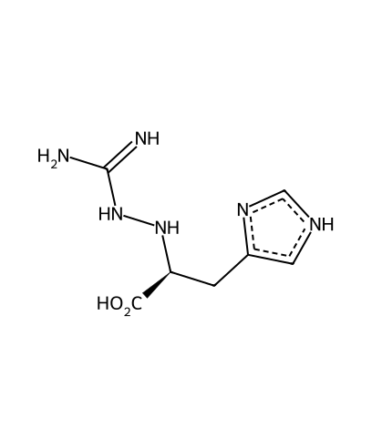 N=C(N)NN[C@@H](Cc1c[nH]cn1)C(=O)O